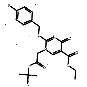 CCOC(=O)c1cn(CC(=O)OC(C)(C)C)c(SCc2ccc(F)cc2)nc1=O